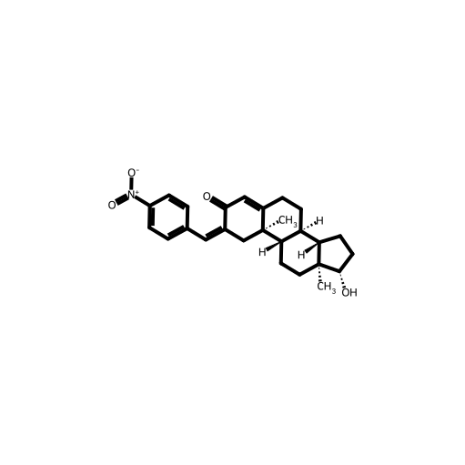 C[C@]12CC[C@H]3[C@@H](CCC4=CC(=O)C(=Cc5ccc([N+](=O)[O-])cc5)C[C@@]43C)[C@@H]1CC[C@@H]2O